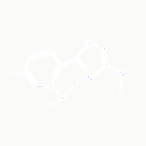 CNc1noc(-c2ccc(F)cc2C(F)(F)F)n1